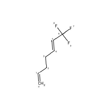 C=CCCC=CC(F)(F)F